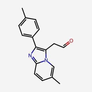 Cc1ccc(-c2nc3ccc(C)cn3c2CC=O)cc1